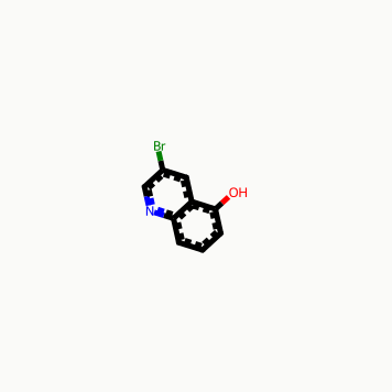 Oc1cccc2ncc(Br)cc12